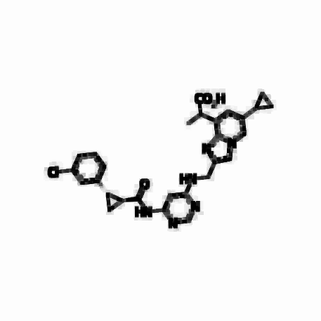 CC(C(=O)O)c1cc(C2CC2)cn2cc(CNc3cc(NC(=O)[C@H]4C[C@@H]4c4cccc(Cl)c4)ncn3)nc12